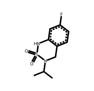 CC(C)N1Cc2ccc(F)cc2NS1(=O)=O